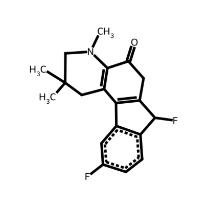 CN1CC(C)(C)CC2=C1C(=O)CC1=C2c2cc(F)ccc2C1F